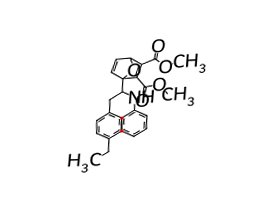 CCc1ccc(CC(Nc2ccccc2)C23C=CC(O2)C(C(=O)OC)=C3C(=O)OC)cc1